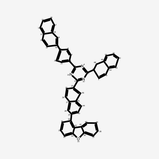 C1=CC(c2nc(-c3ccc(-c4ccc5ccccc5c4)cc3)nc(-c3ccc4cc(-c5cccc6oc7ccccc7c56)ccc4c3)n2)Cc2ccccc21